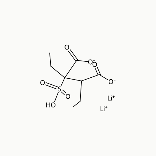 CCC(C(=O)[O-])C(CC)(C(=O)[O-])S(=O)(=O)O.[Li+].[Li+]